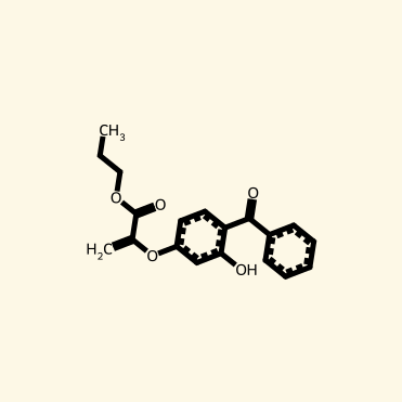 C=C(Oc1ccc(C(=O)c2ccccc2)c(O)c1)C(=O)OCCC